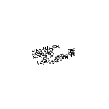 COc1ccc(C(OC[C@H]2O[C@@H](N3CC(C)C(=O)N(CCCCOc4ccc5c(c4)CCC4C5CCC5(C)C(OCCCOC(C(F)(F)F)(C(F)(F)F)C(F)(F)F)CCC45)C3=O)C[C@H]2OP(OCCC#N)N(C(C)C)C(C)C)(c2ccccc2)c2ccc(OC)cc2)cc1